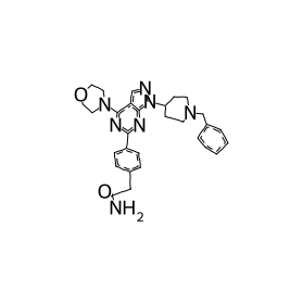 NC(=O)Cc1ccc(-c2nc(N3CCOCC3)c3cnn(C4CCN(Cc5ccccc5)CC4)c3n2)cc1